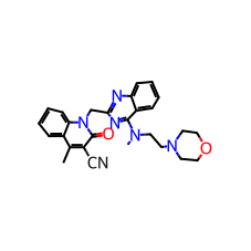 Cc1c(C#N)c(=O)n(Cc2nc(N(C)CCN3CCOCC3)c3ccccc3n2)c2ccccc12